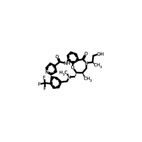 C[C@@H]1CN([C@@H](C)CO)C(=O)c2cccc(NC(=O)c3ccncc3)c2O[C@H]1CN(C)Cc1ccc(C(F)(F)F)cc1